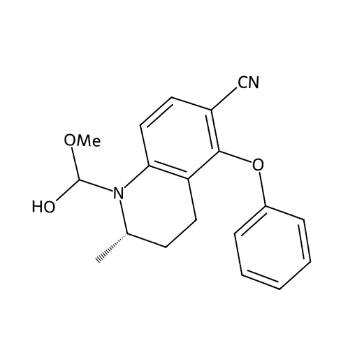 COC(O)N1c2ccc(C#N)c(Oc3ccccc3)c2CC[C@@H]1C